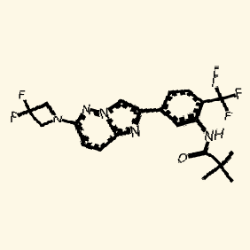 CC(C)(C)C(=O)Nc1cc(-c2cn3nc(N4CC(F)(F)C4)ccc3n2)ccc1C(F)(F)F